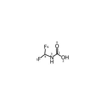 O=C(O)NC(F)F